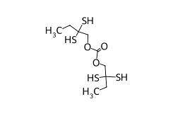 CCC(S)(S)COC(=O)OCC(S)(S)CC